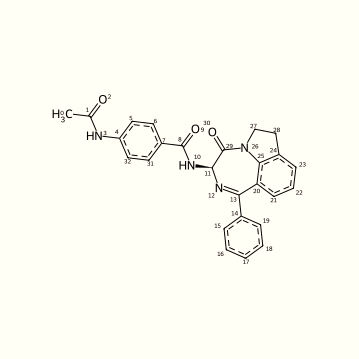 CC(=O)Nc1ccc(C(=O)N[C@@H]2N=C(c3ccccc3)c3cccc4c3N(CC4)C2=O)cc1